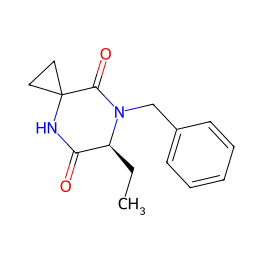 CC[C@H]1C(=O)NC2(CC2)C(=O)N1Cc1ccccc1